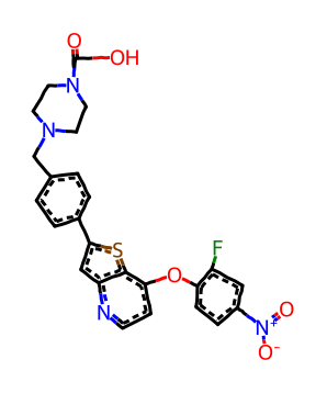 O=C(O)N1CCN(Cc2ccc(-c3cc4nccc(Oc5ccc([N+](=O)[O-])cc5F)c4s3)cc2)CC1